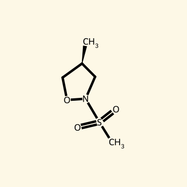 C[C@@H]1CON(S(C)(=O)=O)C1